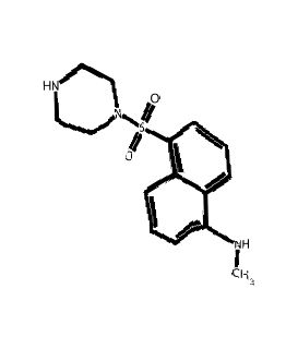 CNc1cccc2c(S(=O)(=O)N3CCNCC3)cccc12